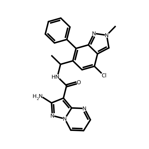 CC(NC(=O)c1c(N)nn2cccnc12)c1cc(Cl)c2cn(C)nc2c1-c1ccccc1